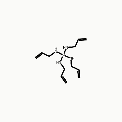 C=CCN[Si](NCC=C)(NCC=C)NCC=C